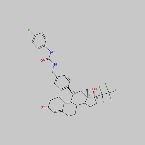 C[C@]12C[C@H](c3ccc(CNC(=O)Nc4ccc(F)cc4)cc3)C3=C4CCC(=O)C=C4CCC3C1CC[C@@]2(O)C(F)(F)C(F)(F)F